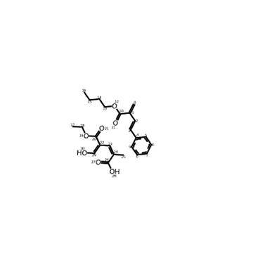 C=C(C=Cc1ccccc1)C(=O)OCCCC.CCOC(=O)C(C=C(C)C(=O)O)=CO